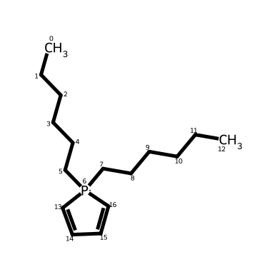 CCCCCC[P]1(CCCCCC)C=CC=C1